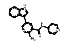 Nc1ncc(-c2c[nH]c3ccccc23)cc1C(=O)Nc1ccncc1